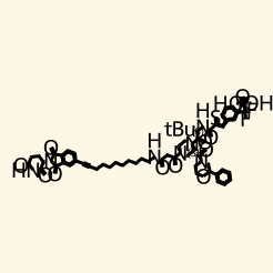 CC(C)(C)[C@H](NC(=O)c1cc2cc(C(F)(F)P(=O)(O)O)ccc2s1)C(=O)N1CCN(C(=O)CC(=O)NCCCCCCCCCC#Cc2ccc3c(c2)C(=O)N(C2CCC(=O)NC2=O)C3=O)C[C@H]1C(=O)N1CCOC(c2ccccc2)C1